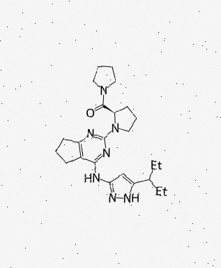 CCC(CC)c1cc(Nc2nc(N3CCC[C@@H]3C(=O)N3CCCC3)nc3c2CCC3)n[nH]1